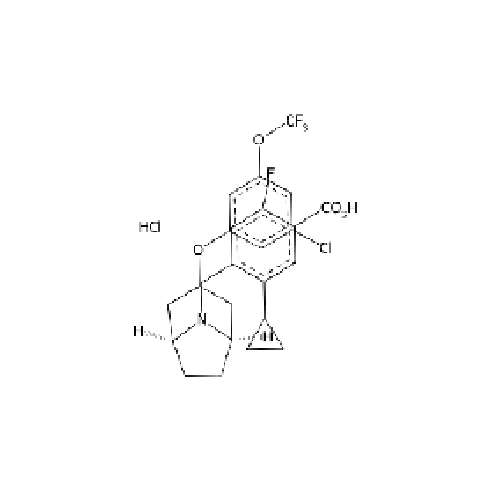 Cl.O=C(O)c1cc(C2CC2)c(CN2[C@@H]3CC[C@H]2CC(Oc2cc(Cl)cc(OC(F)(F)F)c2)C3)cc1F